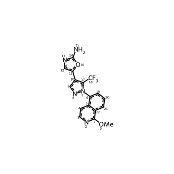 COc1nccc2c(-n3ncc(-c4cnc(N)o4)c3C(F)(F)F)cccc12